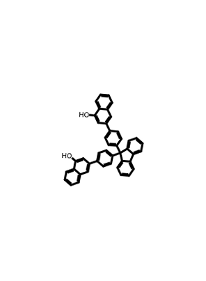 Oc1cc(-c2ccc(C3(c4ccc(-c5cc(O)c6ccccc6c5)cc4)c4ccccc4-c4ccccc43)cc2)cc2ccccc12